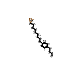 CCCCc1ccc(CCCCCCCCCBr)cc1